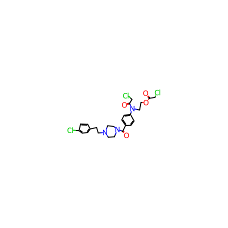 O=C(CCl)OCCN(C(=O)CCl)c1ccc(C(=O)N2CCN(CCc3ccc(Cl)cc3)CC2)cc1